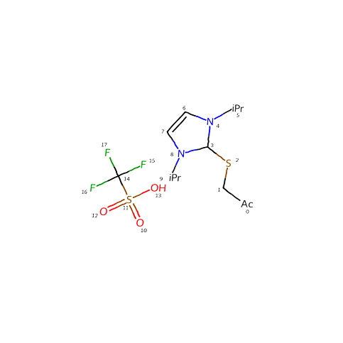 CC(=O)CSC1N(C(C)C)C=CN1C(C)C.O=S(=O)(O)C(F)(F)F